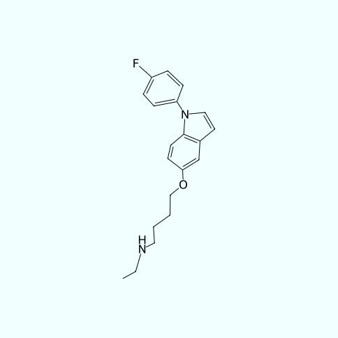 CCNCCCCOc1ccc2c(ccn2-c2ccc(F)cc2)c1